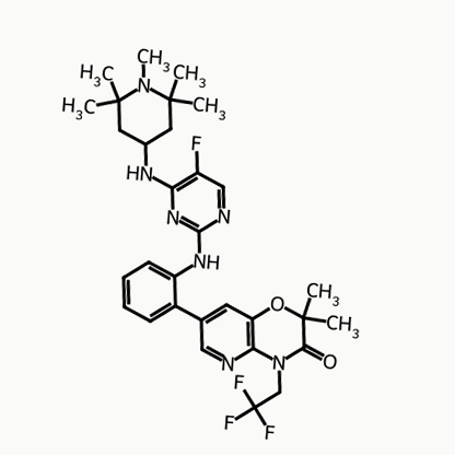 CN1C(C)(C)CC(Nc2nc(Nc3ccccc3-c3cnc4c(c3)OC(C)(C)C(=O)N4CC(F)(F)F)ncc2F)CC1(C)C